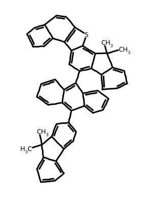 CC1(C)c2ccccc2-c2ccc(-c3c4ccccc4c(-c4cc5c(sc6ccc7ccccc7c65)c5c4-c4ccccc4C5(C)C)c4ccccc34)cc21